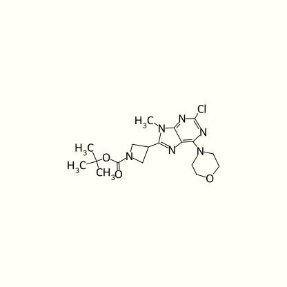 Cn1c(C2CN(C(=O)OC(C)(C)C)C2)nc2c(N3CCOCC3)nc(Cl)nc21